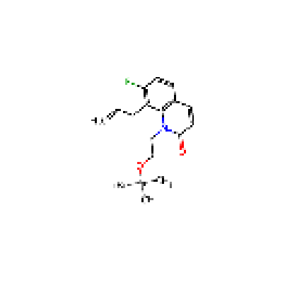 C=CCc1c(F)ccc2ccc(=O)n(CCO[Si](C)(C)C(C)(C)C)c12